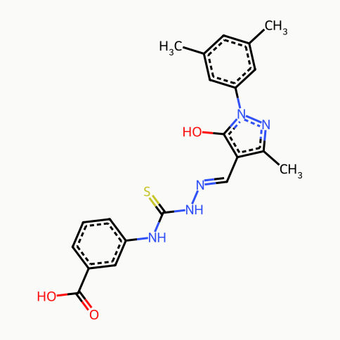 Cc1cc(C)cc(-n2nc(C)c(/C=N/NC(=S)Nc3cccc(C(=O)O)c3)c2O)c1